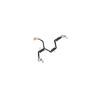 C=C/C=C\C(=C/C)CBr